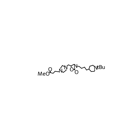 COC(=O)CCCN1CCN(CC2CN(CCCCC3CCN(C(C)(C)C)CC3)C(=O)O2)CC1